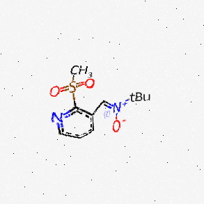 CC(C)(C)/[N+]([O-])=C/c1cccnc1S(C)(=O)=O